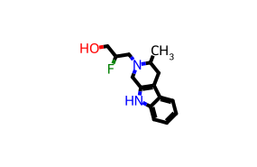 CC1Cc2c([nH]c3ccccc23)CN1CC(F)CO